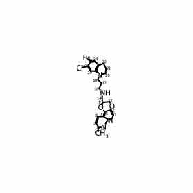 Cc1ccc2c3c(ccc2n1)OC[C@H](CNCCCN1CCCc2cc(F)c(Cl)cc21)O3